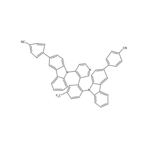 N#Cc1ccc(-c2ccc3c(c2)c2ccccc2n3-c2ccncc2-c2cc(C(F)(F)F)ccc2-n2c3ccccc3c3cc(-c4ccc(C#N)cc4)ccc32)cc1